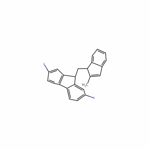 CC1=Cc2ccccc2C1CC1c2cc(I)ccc2-c2ccc(I)cc21